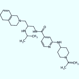 C=C(C)N1CCC(Nc2cc(C(=O)NCC(CN3CCC4=C(C=CCC4)C3)NC(C)C)ccn2)CC1